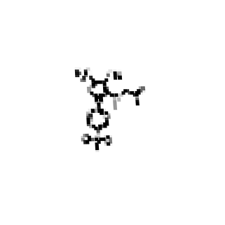 C=C(C)CNc1c(C#N)c(C(F)(F)F)nn1-c1ccc(S(C)(=O)=O)cn1